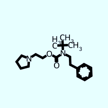 CC(C)(C)N(CCc1ccccc1)C(=O)OCCN1CCCC1